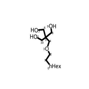 CCCCCCCCOCC(CO)(CO)CO